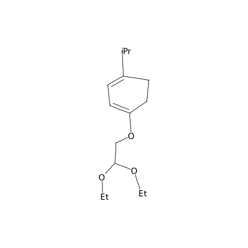 CCOC(COC1=CC=C(C(C)C)CC1)OCC